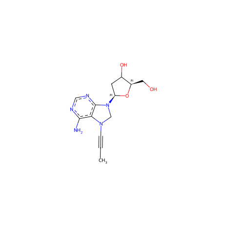 CC#CN1CN([C@H]2CC(O)[C@@H](CO)O2)c2ncnc(N)c21